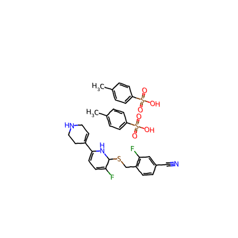 Cc1ccc(S(=O)(=O)O)cc1.Cc1ccc(S(=O)(=O)O)cc1.N#Cc1ccc(CSC2NC(C3=CCNCC3)=CC=C2F)c(F)c1